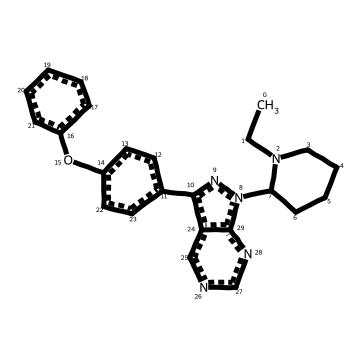 CCN1CCCCC1n1nc(-c2ccc(Oc3ccccc3)cc2)c2cncnc21